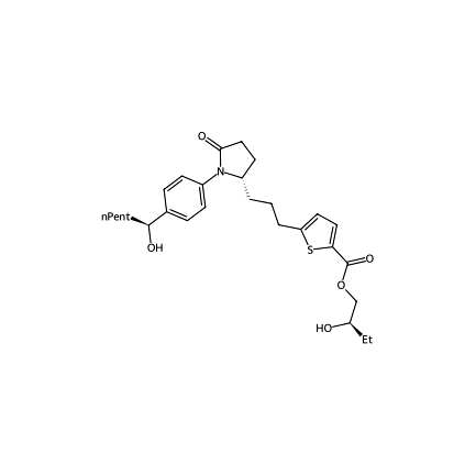 CCCCC[C@H](O)c1ccc(N2C(=O)CC[C@@H]2CCCc2ccc(C(=O)OC[C@H](O)CC)s2)cc1